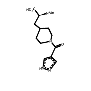 CN[C@@H](CC1CCN(C(=O)c2cn[nH]c2)CC1)C(=O)O